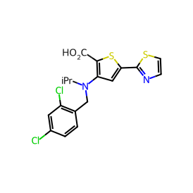 CC(C)N(Cc1ccc(Cl)cc1Cl)c1cc(-c2nccs2)sc1C(=O)O